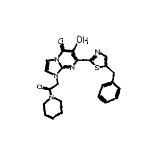 O=C(Cn1ccn2c(=O)c(O)c(-c3ncc(Cc4ccccc4)s3)nc12)N1CCCCC1